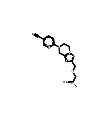 C[C@H](N)COCc1nc2n(n1)CCN(c1ccc(C#N)cn1)C2